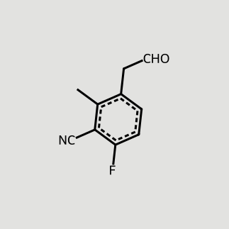 Cc1c(CC=O)ccc(F)c1C#N